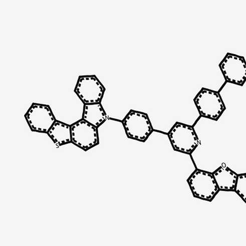 c1ccc(-c2ccc(-c3cc(-c4ccc(-n5c6ccccc6c6c7c(ccc65)sc5ccccc57)cc4)cc(-c4cccc5c4oc4ccccc45)n3)cc2)cc1